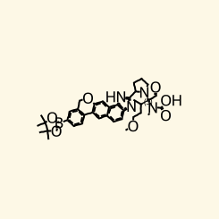 COCCC(C)[C@@](C=O)(N(C)C(=O)O)N1CCCC1c1nc2ccc3cc4c(cc3c2[nH]1)OCc1cc(B2OC(C)(C)C(C)(C)O2)ccc1-4